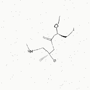 C=C(C[C@@](C)(Cl)CNC)[C@H](CI)OC